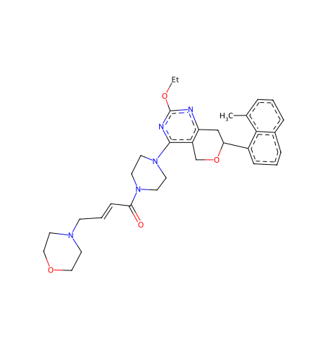 CCOc1nc2c(c(N3CCN(C(=O)/C=C/CN4CCOCC4)CC3)n1)COC(c1cccc3cccc(C)c13)C2